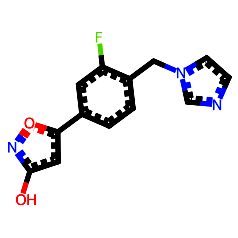 Oc1cc(-c2ccc(Cn3ccnc3)c(F)c2)on1